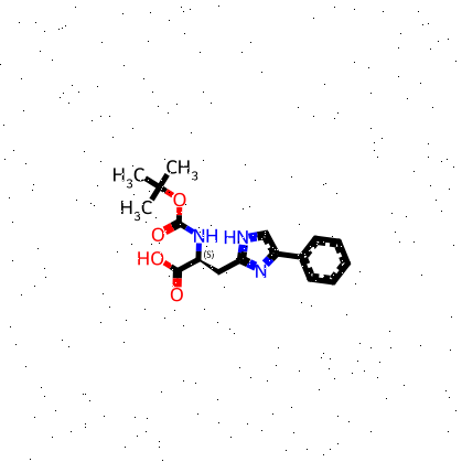 CC(C)(C)OC(=O)N[C@@H](Cc1nc(-c2ccccc2)c[nH]1)C(=O)O